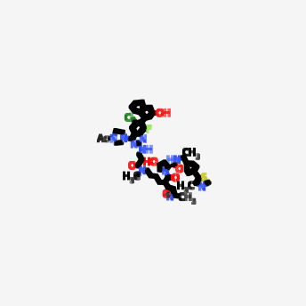 CC(=O)N1CCN(c2nc(NCCC(=O)N(C)CCCCC(C(=O)N3C[C@H](O)C[C@H]3C(=O)N[C@@H](C)c3ccc(-c4scnc4C)cc3)c3cc(C)no3)nc3c(F)c(-c4cc(O)cc5ccccc45)c(Cl)cc23)CC1